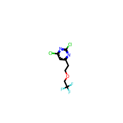 FC(F)(F)COCCc1cc(Cl)nc(Cl)n1